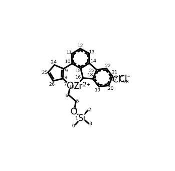 C[Si](C)(C)OCCOC1=C(c2cccc3c2[CH]([Zr+2])c2ccccc2-3)CC=C1.[Cl-].[Cl-]